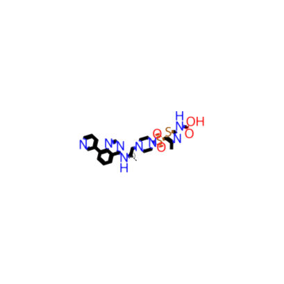 Cc1nc(NC(=O)O)sc1S(=O)(=O)N1CCN(C[C@H](C)Nc2ncnc3c(-c4cccnc4)cccc23)CC1